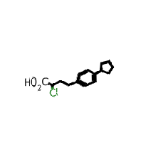 O=C(O)C(Cl)CCc1ccc(C2CCCC2)cc1